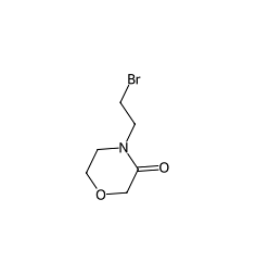 O=C1COCCN1CCBr